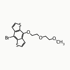 COCCOCCOc1c2ccsc2c(Br)c2ccsc12